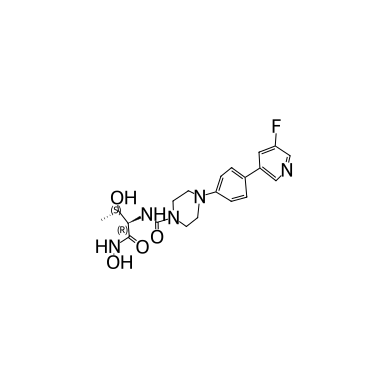 C[C@H](O)[C@@H](NC(=O)N1CCN(c2ccc(-c3cncc(F)c3)cc2)CC1)C(=O)NO